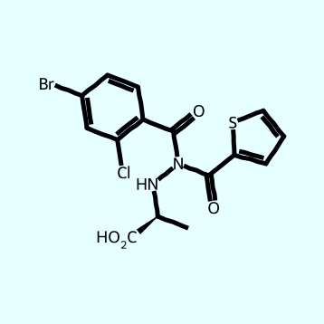 C[C@H](NN(C(=O)c1cccs1)C(=O)c1ccc(Br)cc1Cl)C(=O)O